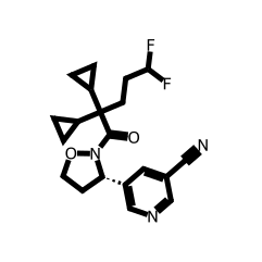 N#Cc1cncc([C@@H]2CCON2C(=O)C(CCC(F)F)(C2CC2)C2CC2)c1